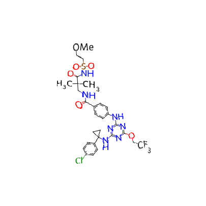 COCCS(=O)(=O)NC(=O)C(C)(C)CNC(=O)c1ccc(Nc2nc(NC3(c4ccc(Cl)cc4)CC3)nc(OCC(F)(F)F)n2)cc1